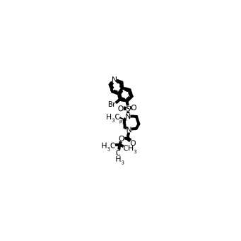 C[C@@H]1CN(C(=O)OC(C)(C)C)CCCN1S(=O)(=O)c1ccc2cnccc2c1Br